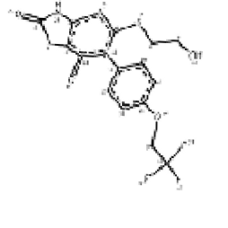 O=C1Cc2c(nc(SCCO)n(-c3ccc(OCC(F)(F)F)cc3)c2=O)N1